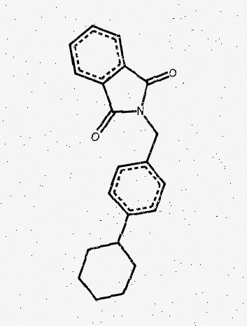 O=C1c2ccccc2C(=O)N1Cc1ccc(C2CCCCC2)cc1